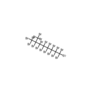 C[CH]C(Br)(Br)C(Br)(Br)C(Br)(Br)C(Br)(Br)C(Br)(Br)C(Br)(Br)C(Br)(C(Br)(Br)Br)C(Br)(Br)Br